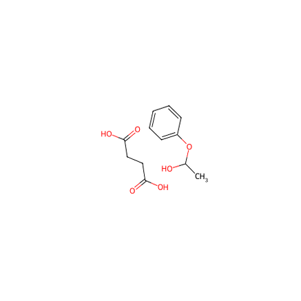 CC(O)Oc1ccccc1.O=C(O)CCC(=O)O